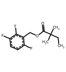 CCC(C)(C)C(=O)OCc1c(F)ccc(F)c1F